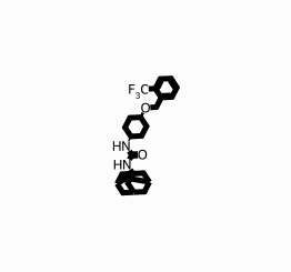 O=C(NC12CC3CC(CC(C3)C1)C2)N[C@H]1CC[C@H](OCc2ccccc2C(F)(F)F)CC1